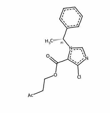 CC(=O)CCOC(=O)c1c(Cl)ncn1[C@H](C)c1ccccc1